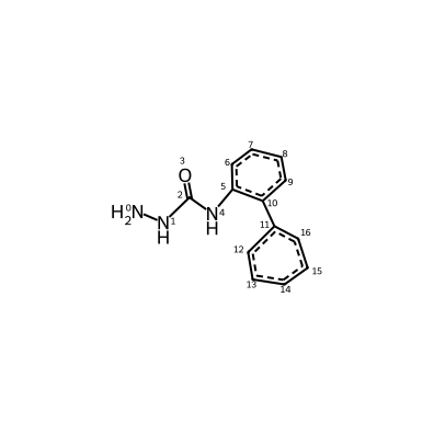 NNC(=O)Nc1ccccc1-c1ccccc1